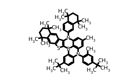 Cc1cc2c3c(c1)N(c1ccc4c(c1)C(C)(C)CCC4(C)C)c1c(sc4cc5c(cc14)C(C)(C)CCC5(C)C)B3c1cc(C(C)(C)C)ccc1N2c1ccc(C(C)(C)C)cc1C